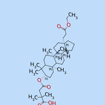 CCOC(=O)CC[C@]12CCC[C@@H]1[C@H]1CCC3[C@@]4(C)CC[C@H](OC(=O)CC(C)(C)C(=O)O)C(C)(C)C4CC[C@@]3(C)[C@]1(C)CC2